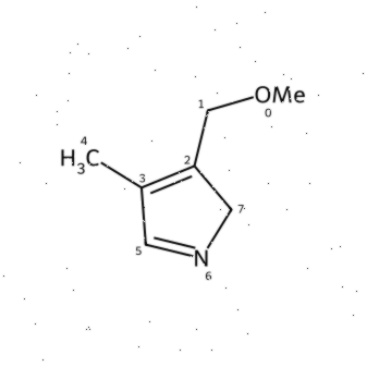 COCC1=C(C)C=NC1